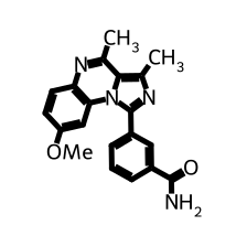 COc1ccc2nc(C)c3c(C)nc(-c4cccc(C(N)=O)c4)n3c2c1